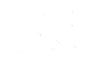 COc1ccc(C(=O)N2CCC(C(C)N3CCC(C(N)=O)(c4ccccc4)C(c4ccc(Cl)c(Cl)c4)C3)C2)cc1.Cl